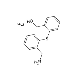 Cl.NCc1ccccc1Sc1ccccc1CO